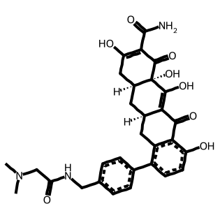 CN(C)CC(=O)NCc1ccc(-c2ccc(O)c3c2C[C@H]2C[C@H]4CC(O)=C(C(N)=O)C(=O)[C@@]4(O)C(O)=C2C3=O)cc1